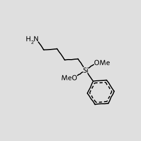 CO[Si](CCCCN)(OC)c1ccccc1